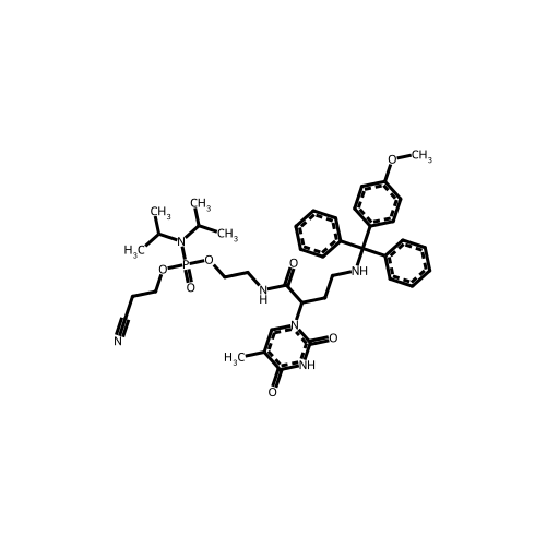 COc1ccc(C(NCCC(C(=O)NCCOP(=O)(OCCC#N)N(C(C)C)C(C)C)n2cc(C)c(=O)[nH]c2=O)(c2ccccc2)c2ccccc2)cc1